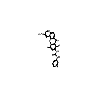 COc1cnc2ccc(C(=O)c3c(F)c(F)cc(NC(=O)Nc4cccc(F)c4)c3F)cc2c1